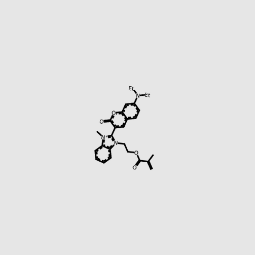 C=C(C)C(=O)OCCn1c(-c2cc3ccc(N(CC)CC)cc3oc2=O)[n+](C)c2ccccc21